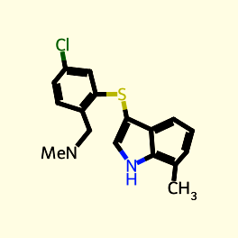 CNCc1ccc(Cl)cc1Sc1c[nH]c2c(C)cccc12